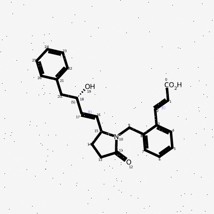 O=C(O)/C=C/c1ccccc1CN1C(=O)CCC1/C=C/[C@@H](O)Cc1ccccc1